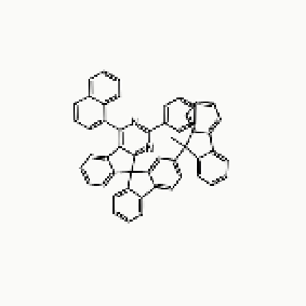 CC1(c2ccc3c(c2)C2(c4ccccc4-3)c3ccccc3-c3c(-c4cccc5ccccc45)nc(-c4ccccc4)nc32)c2ccccc2-c2ccccc21